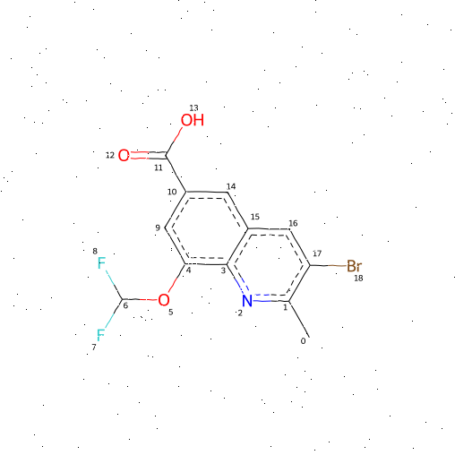 Cc1nc2c(OC(F)F)cc(C(=O)O)cc2cc1Br